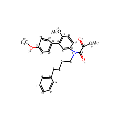 COC(=O)C(=O)N(CCCCc1ccccc1)c1ccc(OC)c(-c2ccc(OC(F)(F)F)cc2)c1